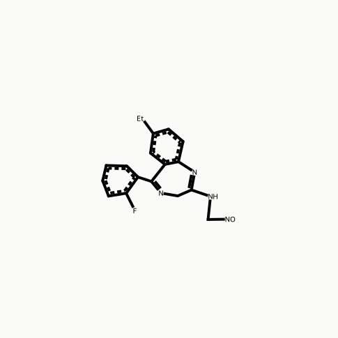 CCc1ccc2c(c1)C(c1ccccc1F)=NCC(NCN=O)=N2